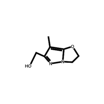 Cc1c(CO)nn2c1OCC2